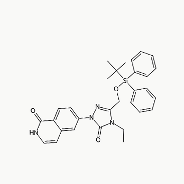 CCn1c(CO[Si](c2ccccc2)(c2ccccc2)C(C)(C)C)nn(-c2ccc3c(=O)[nH]ccc3c2)c1=O